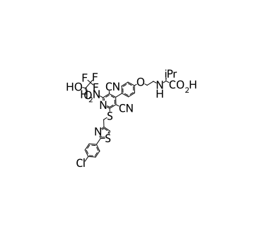 CC(C)[C@H](NCCOc1ccc(-c2c(C#N)c(N)nc(SCc3csc(-c4ccc(Cl)cc4)n3)c2C#N)cc1)C(=O)O.O=C(O)C(F)(F)F